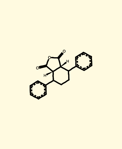 O=C1OC(=O)[C@H]2C(c3ccccc3)CCC(c3ccccc3)[C@@H]12